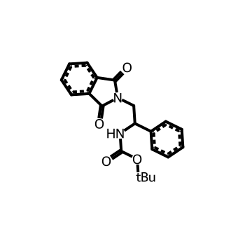 CC(C)(C)OC(=O)NC(CN1C(=O)c2ccccc2C1=O)c1ccccc1